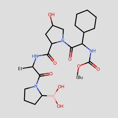 CCC(NC(=O)C1CC(O)CN1C(=O)C(NC(=O)OC(C)(C)C)C1CCCCC1)C(=O)N1CCCC1B(O)O